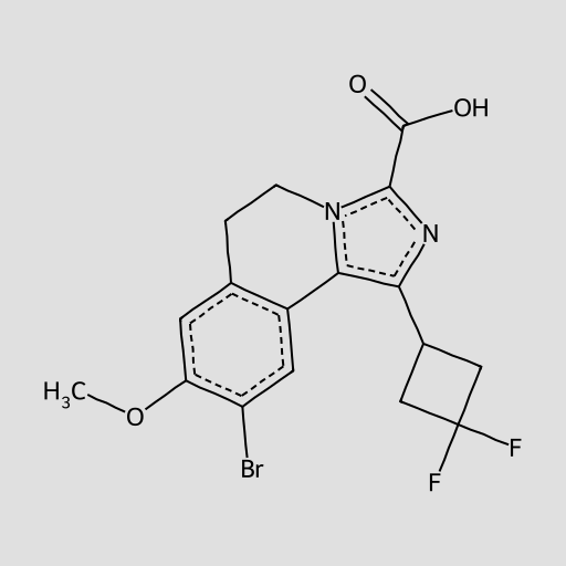 COc1cc2c(cc1Br)-c1c(C3CC(F)(F)C3)nc(C(=O)O)n1CC2